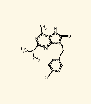 CP(C)c1nc(N)c2[nH]c(=O)n(Cc3ccc(Cl)nc3)c2n1